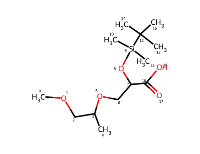 COCC(C)OCC(O[Si](C)(C)C(C)(C)C)C(=O)O